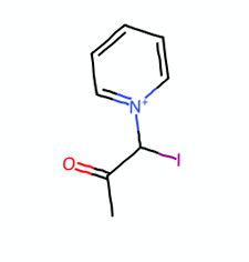 CC(=O)C(I)[n+]1ccccc1